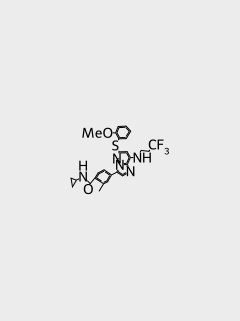 COc1ccccc1Sc1cc(NCCC(F)(F)F)c2ncc(-c3ccc(C(=O)NC4CC4)c(C)c3)n2n1